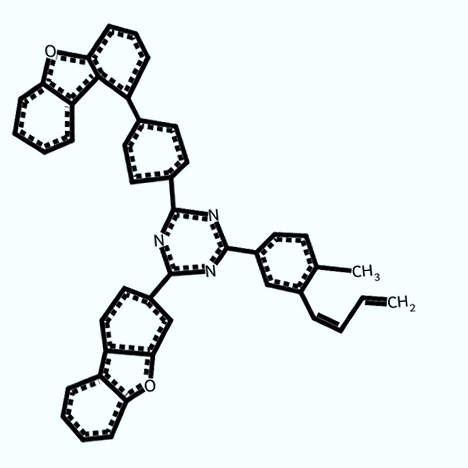 C=C/C=C\c1cc(-c2nc(-c3ccc(-c4cccc5oc6ccccc6c45)cc3)nc(-c3ccc4c(c3)oc3ccccc34)n2)ccc1C